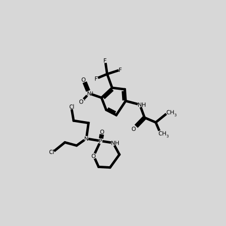 CC(C)C(=O)Nc1ccc([N+](=O)[O-])c(C(F)(F)F)c1.O=P1(N(CCCl)CCCl)NCCCO1